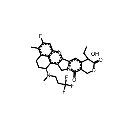 CC[C@@]1(O)C(=O)OCc2c1cc1n(c2=O)Cc2c-1nc1cc(F)c(C)c3c1c2[C@@H](N(C)CCC(F)(F)F)CC3